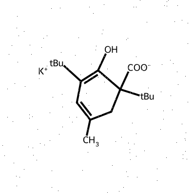 CC1=CC(C(C)(C)C)=C(O)C(C(=O)[O-])(C(C)(C)C)C1.[K+]